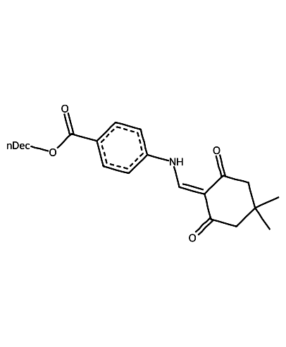 CCCCCCCCCCOC(=O)c1ccc(NC=C2C(=O)CC(C)(C)CC2=O)cc1